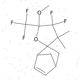 COC1(C(F)(F)F)OC2(CC3C=CC2C3)C(C)(C)C1(F)F